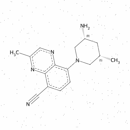 Cc1cnc2c(N3C[C@@H](C)C[C@@H](N)C3)ccc(C#N)c2n1